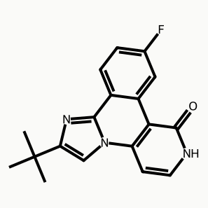 CC(C)(C)c1cn2c3cc[nH]c(=O)c3c3cc(F)ccc3c2n1